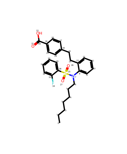 CCCCCCCN(c1ccccc1CCc1ccc(C(=O)O)cc1)S(=O)(=O)c1ccccc1F